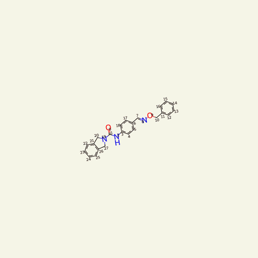 O=C(Nc1ccc(C=NOCc2ccccc2)cc1)N1Cc2ccccc2C1